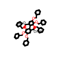 COC(=O)c1cc(OCc2ccccc2)c(OCc2ccccc2)c(OCc2ccccc2)c1-c1c(C(=O)OC)cc(OCc2ccccc2)c(OCc2ccccc2)c1OCc1ccccc1